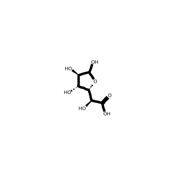 O=C(O)[C@@H](O)[C@H]1OC(O)[C@H](O)[C@H]1O